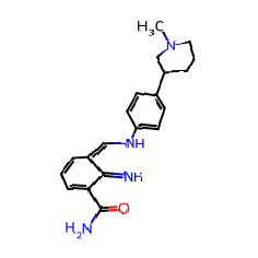 CN1CCCC(c2ccc(N/C=C3/C=CC=C(C(N)=O)C3=N)cc2)C1